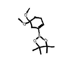 COC1(OC)CCC=C(B2OC(C)(C)C(C)(C)O2)C1